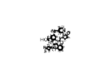 CC(C)(O)c1cc(F)cc(N(C(=O)C[C@@H]2CCC(=O)N2c2cc(C#N)ccn2)[C@H](C(=O)NC2CC(F)(F)C2)c2ccccc2Cl)c1